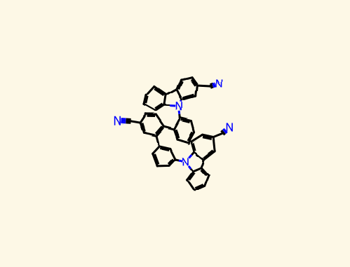 N#Cc1ccc(-c2ccccc2-n2c3ccccc3c3ccc(C#N)cc32)c(-c2cccc(-n3c4ccccc4c4cc(C#N)ccc43)c2)c1